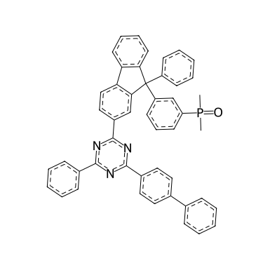 CP(C)(=O)c1cccc(C2(c3ccccc3)c3ccccc3-c3ccc(-c4nc(-c5ccccc5)nc(-c5ccc(-c6ccccc6)cc5)n4)cc32)c1